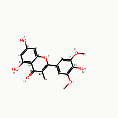 COc1cc(-c2oc3cc(O)cc(O)c3c(=O)c2C)cc(OC)c1O